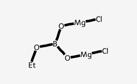 CCOB([O][Mg][Cl])[O][Mg][Cl]